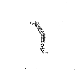 CCCCCCCCc1cnc(-c2ccc(OC(F)C(F)(F)C(F)(F)C(F)(F)C(F)(F)C(F)(F)OC(F)(F)C(F)(F)OC(F)(F)C(F)(F)OC(F)(F)C(F)(F)C(F)(F)C(F)(F)F)cc2)nc1